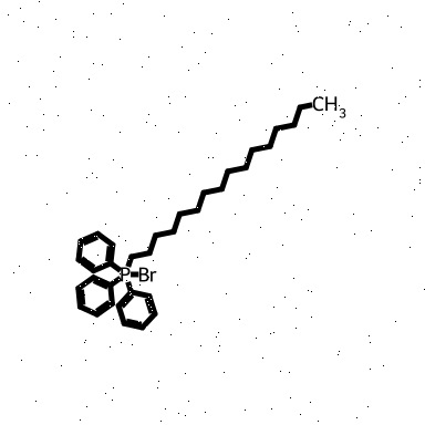 CCCCCCCCCCCCCCCCP(Br)(c1ccccc1)(c1ccccc1)c1ccccc1